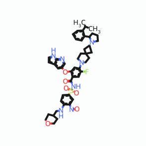 CC(C)c1ccccc1C1CCCN1C1CC2(CCN(c3cc(Oc4cnc5[nH]ccc5c4)c(C(=O)NS(=O)(=O)c4ccc(NCC5CCOCC5)c(N=O)c4)cc3F)CC2)C1